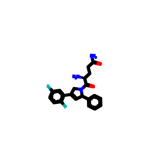 NC(=O)CC[C@H](N)C(=O)N1CC(c2cc(F)ccc2F)=CC1c1ccccc1